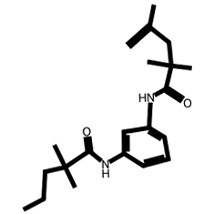 C=C(C)CC(C)(C)C(=O)Nc1cccc(NC(=O)C(C)(C)CCC)c1